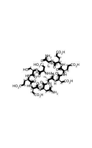 CC(=O)N[C@H](CC(=O)O)C(=O)N[C@H](CO)C(=O)N[C@H](CCC(=O)O)C(=O)N[C@H](CC(=O)O)C(=O)N[C@H](CC(N)=O)C(=O)N[C@H](C)C(=O)N[C@H](CC(=O)O)C(=O)N[C@H](CCC(=O)O)C(=O)N[C@H](CCC(=O)O)C(=O)N[C@H](C)C(N)=O